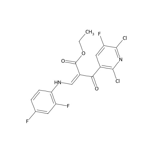 CCOC(=O)/C(=C\Nc1ccc(F)cc1F)C(=O)c1cc(F)c(Cl)nc1Cl